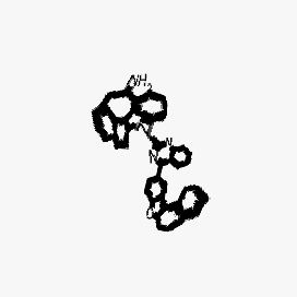 NC1=Cc2cccc3ccc4c(c23)c2c1cccc2n4-c1nc(-c2ccc3oc4ccc5ccccc5c4c3c2)c2ccccc2n1